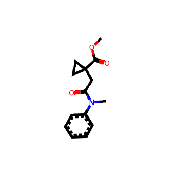 COC(=O)C1(CC(=O)N(C)c2ccccc2)CC1